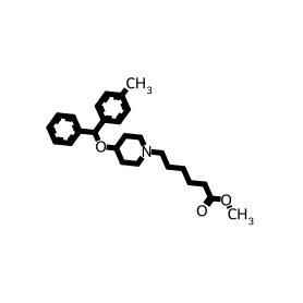 COC(=O)CCCCCN1CCC(OC(c2ccccc2)c2ccc(C)cc2)CC1